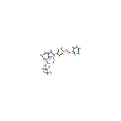 CCc1c(-c2ccc(OCc3ccccc3)cc2)cn2cccc(CO[Si](C)(C)C(C)(C)C)c12